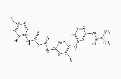 CN(C)C(=O)Nc1cc(Oc2ccc(NC(=O)CC(=O)Nc3ccc(F)cc3F)cc2F)ncn1